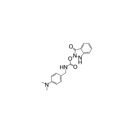 CN(C)c1ccc(CNC(=O)On2[nH]c3ccccc3c2=O)cc1